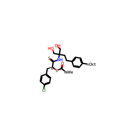 CCCCCCCCc1ccc(CCC(CO)(CO)NC(=S)[C@H](Cc2ccc(Cl)cc2)SC(=O)NC)cc1